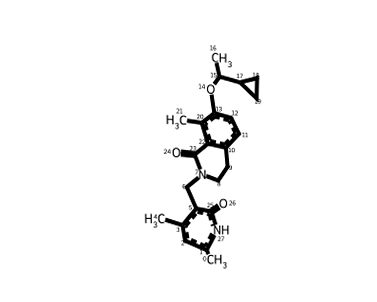 Cc1cc(C)c(CN2CCc3ccc(OC(C)C4CC4)c(C)c3C2=O)c(=O)[nH]1